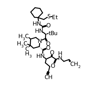 C#CCCC(NC(=O)[C@@H]1CC(C)(C)C(C)CN1C(=O)[C@@H](NC(=O)NC1(CSCC)CCCCC1)C(C)(C)C)C(=O)C(=O)NCC=C